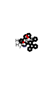 C=Cc1c(/C=C\C)c2c3c4ccccc4c4ccccc4c3c3c4ccccc4n(-c4ccccc4)c3c2n1-c1ccccc1-c1ccccc1